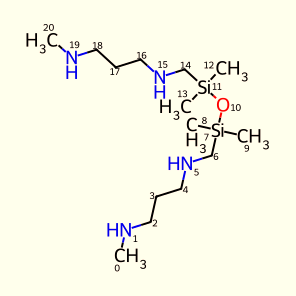 CNCCCNC[Si](C)(C)O[Si](C)(C)CNCCCNC